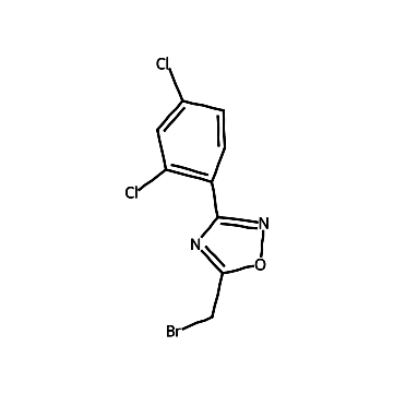 Clc1ccc(-c2noc(CBr)n2)c(Cl)c1